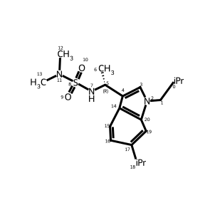 CC(C)Cn1cc([C@@H](C)NS(=O)(=O)N(C)C)c2ccc(C(C)C)cc21